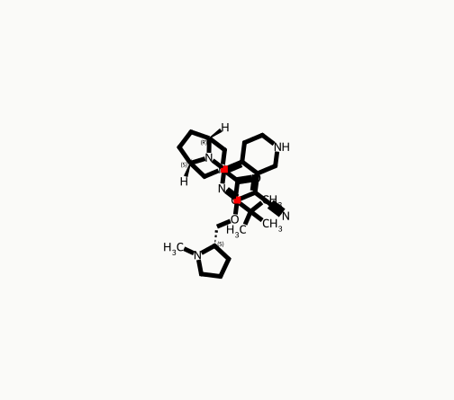 CN1CCC[C@H]1COc1nc(N2[C@@H]3CC[C@H]2CN(C(=O)OC(C)(C)C)C3)c2c(c1C#N)CNCC2